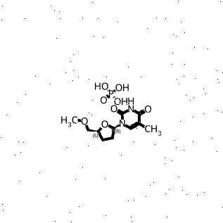 COC[C@@H]1CC[C@H](n2cc(C)c(=O)[nH]c2=O)O1.O=P(O)(O)O